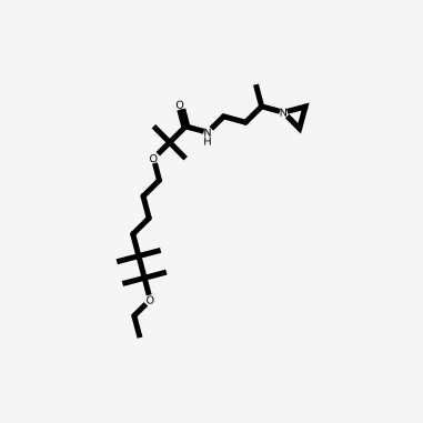 CCOC(C)(C)C(C)(C)CCCCOC(C)(C)C(=O)NCCC(C)N1CC1